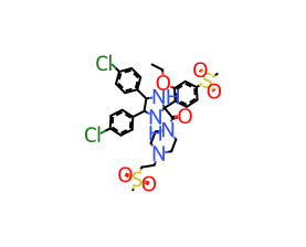 CCOc1cc(S(C)(=O)=O)ccc1C1(C(=O)N2CCN(CCS(C)(=O)=O)CC2)NC(c2ccc(Cl)cc2)C(c2ccc(Cl)cc2)N1